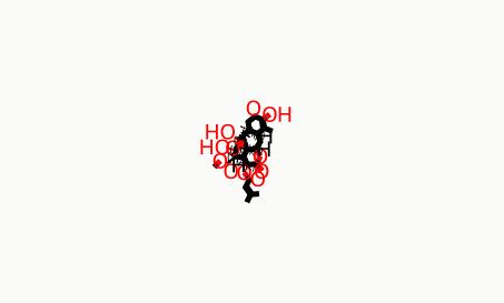 COC(=O)[C@@]12OC[C@]34CC([C@@H](O)[C@@H]1O)[C@@]1(C)CC(=O)C(O)=C(C)[C@@H]1C[C@H]3OC(=O)[C@H](OC(=O)C=C(C)C)[C@H]42